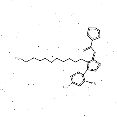 CCCCCCCCCCCn1c(-c2ccc(C)cc2C)cs/c1=N/C(=O)c1ccccc1